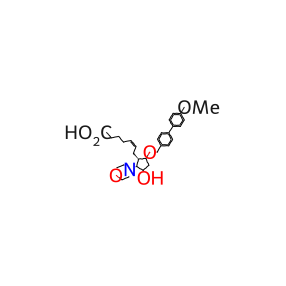 COc1ccc(-c2ccc(CO[C@H]3C[C@@H](O)[C@H](N4CCOCC4)[C@H]3C/C=C\CCCC(=O)O)cc2)cc1